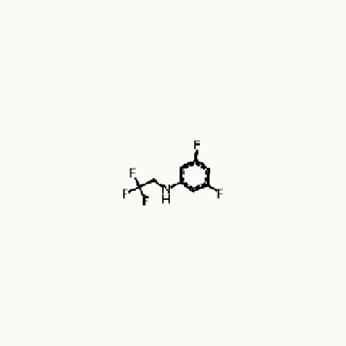 Fc1cc(F)cc(NCC(F)(F)F)c1